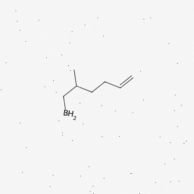 BCC(C)CCC=C